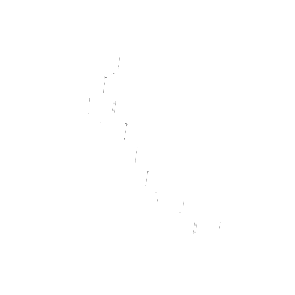 CCOC(=O)c1cc(C(=O)CCCCCN2CCN(c3ccccc3)CC2)ccc1O